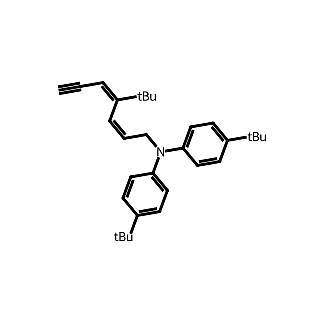 C#C/C=C(\C=C/CN(c1ccc(C(C)(C)C)cc1)c1ccc(C(C)(C)C)cc1)C(C)(C)C